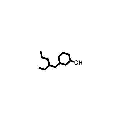 CCCC(CC)CC1CCCC(O)C1